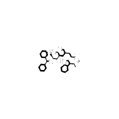 CC(c1c[nH]c2ccccc12)N(C)C(=O)C=Cc1cnc2c(c1)CC(N=C(c1ccccc1)c1ccccc1)C(=O)N2